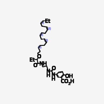 CC/C=C\C/C=C\C/C=C\C/C=C\C/C=C\CCOC(CC)C(=O)NCCNC(=O)Nc1ccc(O)c(C(=O)O)c1